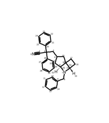 N#CC(CC1C[C@@H]2N(Cc3ccccc3)[C@H]3CCC32C1)(c1ccccc1)c1ccccc1